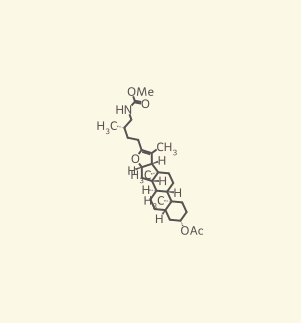 COC(=O)NC[C@@H](C)CCC1=C(C)[C@H]2[C@H](C[C@H]3[C@@H]4CC[C@H]5C[C@@H](OC(C)=O)CC[C@]5(C)[C@H]4CC[C@@]32C)O1